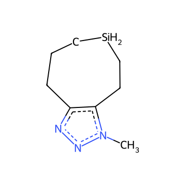 Cn1nnc2c1CC[SiH2]CCC2